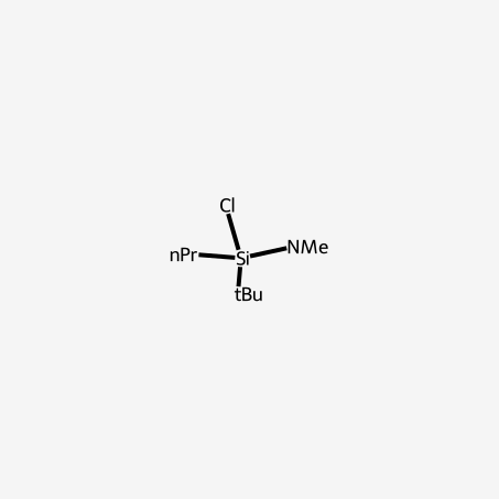 CCC[Si](Cl)(NC)C(C)(C)C